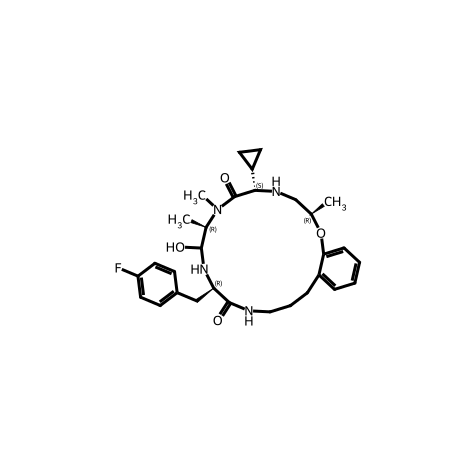 C[C@@H]1CN[C@@H](C2CC2)C(=O)N(C)[C@H](C)C(O)N[C@H](Cc2ccc(F)cc2)C(=O)NCCCc2ccccc2O1